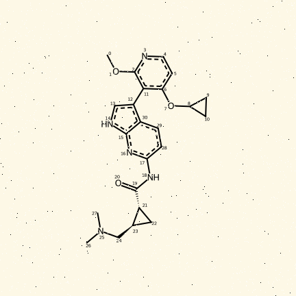 COc1nccc(OC2CC2)c1-c1c[nH]c2nc(NC(=O)[C@@H]3C[C@H]3CN(C)C)ccc12